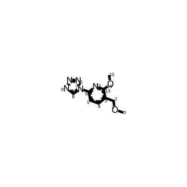 COCc1ccc(-n2cnnn2)nc1OC